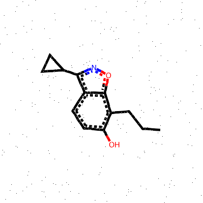 CCCc1c(O)ccc2c(C3CC3)noc12